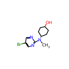 CN(c1ncc(Br)cn1)[C@H]1CC[C@H](O)CC1